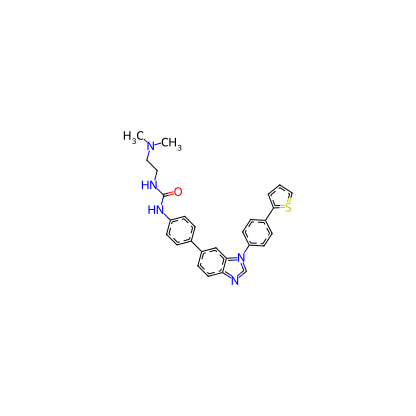 CN(C)CCNC(=O)Nc1ccc(-c2ccc3ncn(-c4ccc(-c5cccs5)cc4)c3c2)cc1